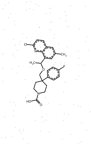 Cc1cc(C(C)OCC2(c3ccc(F)cc3)CCN(C(=O)O)CC2)c2nc(Cl)ccc2c1